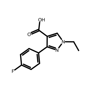 CCn1cc(C(=O)O)c(-c2ccc(F)cc2)n1